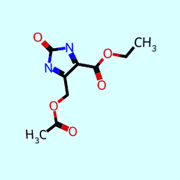 CCOC(=O)C1=NC(=O)N=C1COC(C)=O